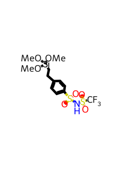 CO[Si](CCc1ccc(S(=O)(=O)NS(=O)(=O)C(F)(F)F)cc1)(OC)OC